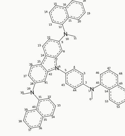 CN(c1ccc(-n2c3cc(N(C)c4cccc5ccccc45)ccc3c3ccc(N(C)c4cccc5ccccc45)cc32)cc1)c1cccc2ccccc12